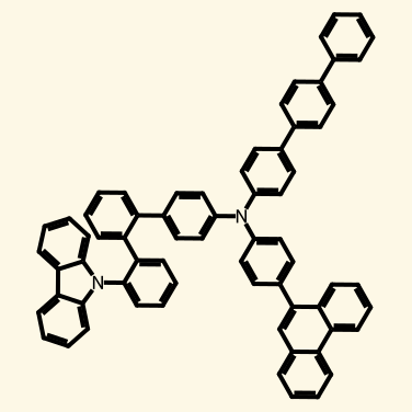 c1ccc(-c2ccc(-c3ccc(N(c4ccc(-c5ccccc5-c5ccccc5-n5c6ccccc6c6ccccc65)cc4)c4ccc(-c5cc6ccccc6c6ccccc56)cc4)cc3)cc2)cc1